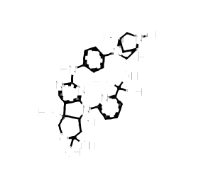 CN1C[C@H]2C[C@@H]1CN2c1ccc(Nc2ncc3c(n2)N(c2cccc(C(C)(C)O)n2)[C@H]2CC(C)(C)OC[C@@]32C)cc1